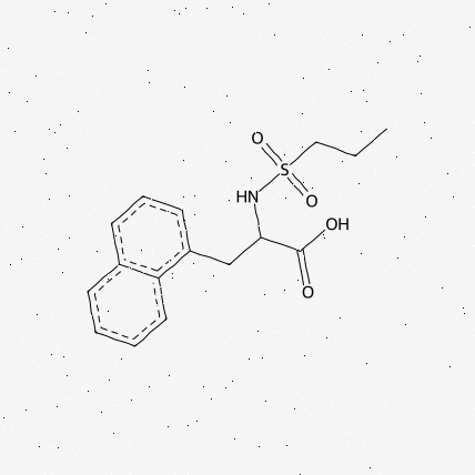 CCCS(=O)(=O)NC(Cc1cccc2ccccc12)C(=O)O